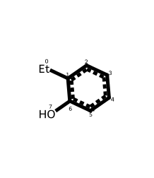 CCc1ccc[c]c1O